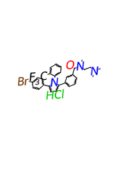 CN(C)CCN(C)C(=O)c1cccc(-c2ccc(-c3ccc(Br)cc3)n2-c2ccccc2C(F)(F)F)c1.Cl